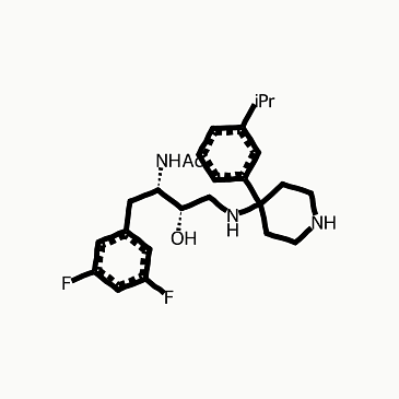 CC(=O)N[C@@H](Cc1cc(F)cc(F)c1)[C@@H](O)CNC1(c2cccc(C(C)C)c2)CCNCC1